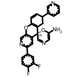 NC1=CN=C[C@]2(O1)C1=C(C=CC(c3cccnc3)C1)Oc1cnc(-c3ccc(F)c(F)c3)cc12